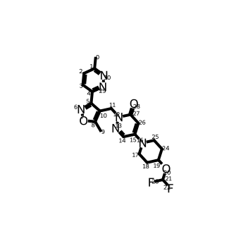 Cc1ccc(-c2noc(C)c2Cn2ncc(N3CCC(OC(F)F)CC3)cc2=O)nn1